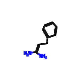 NC(N)=CCc1ccccc1